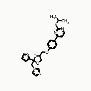 CC(C)Sc1nccc(-c2ccc(OCC3COC(Cn4ccnc4)(c4cccs4)O3)cc2)n1